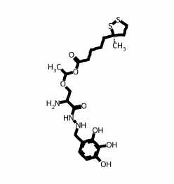 CC(OCC(N)C(=O)NNCc1ccc(O)c(O)c1O)OC(=O)CCCC[C@]1(C)CCSS1